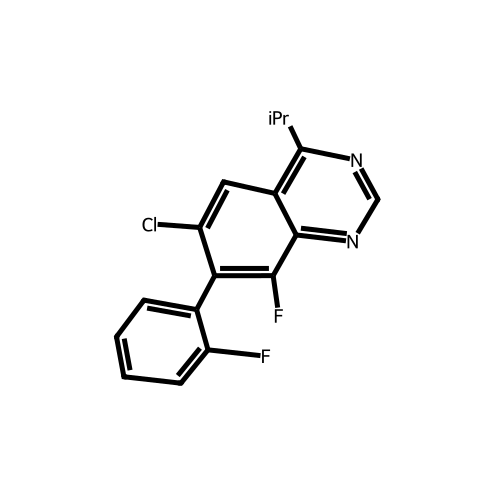 CC(C)c1ncnc2c(F)c(-c3ccccc3F)c(Cl)cc12